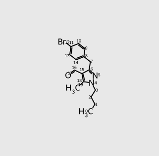 CCCCn1nc(Cc2ccc(Br)cc2)c(C=O)c1C